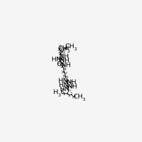 CCCCC(CC)CNC(=N)NC(=N)NCCCCCCNC(=O)NC(=N)NCC(CC)CCCC